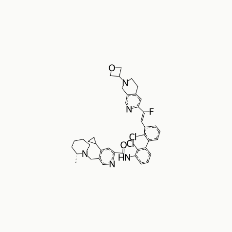 C[C@@H]1CCCCN1Cc1cnc(C(=O)Nc2cccc(-c3cccc(/C=C(\F)c4cc5c(cn4)CN(C4COC4)CC5)c3Cl)c2Cl)cc1C1CC1